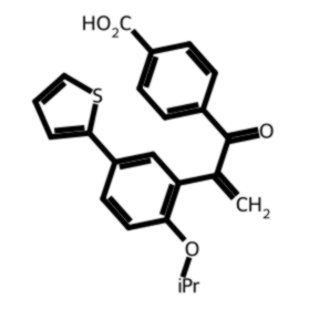 C=C(C(=O)c1ccc(C(=O)O)cc1)c1cc(-c2cccs2)ccc1OC(C)C